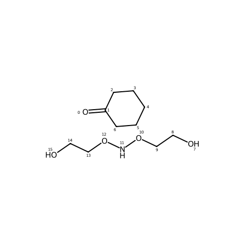 O=C1CCCCC1.OCCONOCCO